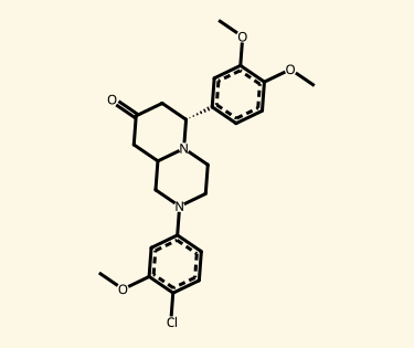 COc1cc(N2CCN3C(CC(=O)C[C@@H]3c3ccc(OC)c(OC)c3)C2)ccc1Cl